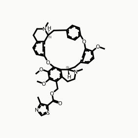 COc1ccc2cc1Oc1ccc(cc1)C[C@H]1c3cc(ccc3CCN1C)Oc1c(OC)c(OC)c(COC(=O)c3scnc3C)c3c1[C@H](C2)N(C)CC3